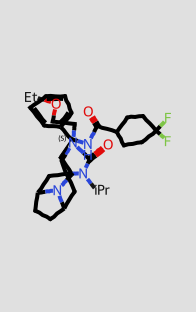 CCOCCN1CC2(CC3CCC(C2)N3CC[C@H](NC(=O)C2CCC(F)(F)CC2)c2ccccc2)N(C(C)C)C1=O